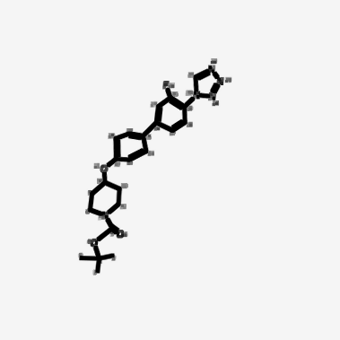 CC(C)(C)OC(=O)N1CCC(Oc2ccc(-c3ccc(-n4cnnn4)c(F)c3)cc2)CC1